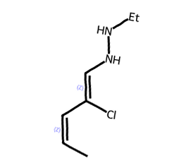 C/C=C\C(Cl)=C\NNCC